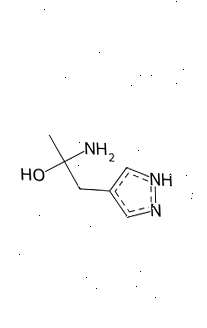 CC(N)(O)Cc1cn[nH]c1